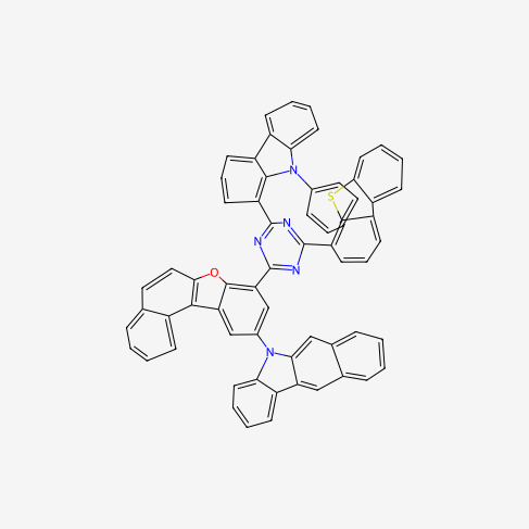 c1ccc(-n2c3ccccc3c3cccc(-c4nc(-c5cc(-n6c7ccccc7c7cc8ccccc8cc76)cc6c5oc5ccc7ccccc7c56)nc(-c5cccc6c5sc5ccccc56)n4)c32)cc1